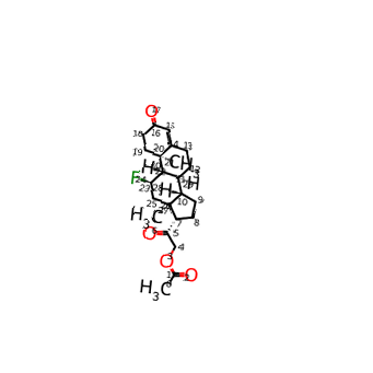 CC(=O)OCC(=O)[C@H]1CC[C@H]2[C@@H]3CCC4=CC(=O)CC[C@]4(C)[C@H]3[C@H](F)C[C@]12C